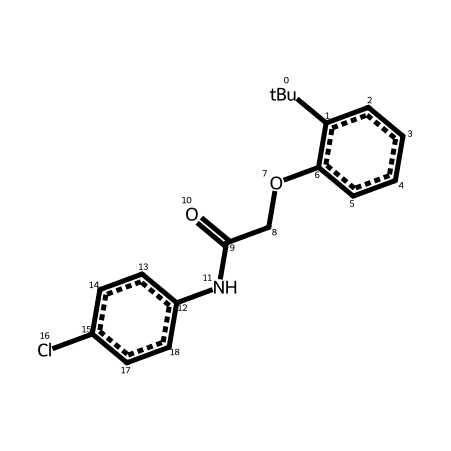 CC(C)(C)c1ccccc1OCC(=O)Nc1ccc(Cl)cc1